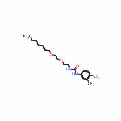 O=C(O)CCCCCCOCCOCCNC(=O)Nc1ccc(C(F)(F)F)c(C(F)(F)F)c1